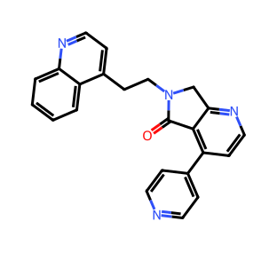 O=C1c2c(-c3ccncc3)ccnc2CN1CCc1ccnc2ccccc12